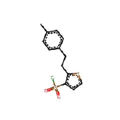 Cc1ccc(CCc2sccc2S(=O)(=O)Cl)cc1